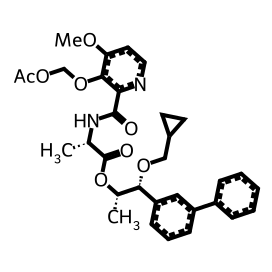 COc1ccnc(C(=O)N[C@@H](C)C(=O)O[C@@H](C)[C@H](OCC2CC2)c2cccc(-c3ccccc3)c2)c1OCOC(C)=O